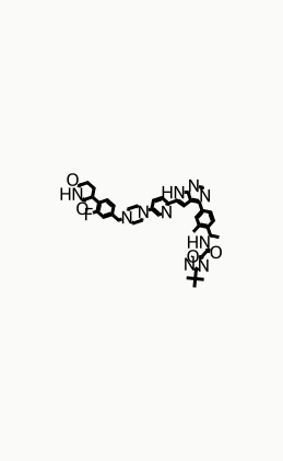 Cc1cc(-c2ncnc3[nH]c(-c4ccc(N5CCN(Cc6ccc(C7CCC(=O)NC7=O)c(F)c6)CC5)cn4)cc23)ccc1C(C)NC(=O)c1nc(C(C)(C)C)no1